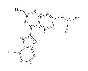 Cc1cc(-c2nc3c(Cl)cccc3s2)c2ncc(OC(F)F)nc2c1